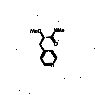 CNC(=O)C(Cc1ccncc1)OC